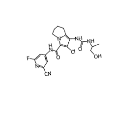 CC(CO)NC(=O)Nc1c(Cl)c(C(=O)Nc2cc(F)nc(C#N)c2)n2c1CCCC2